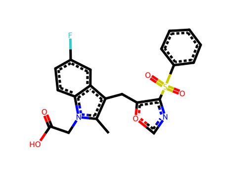 Cc1c(Cc2ocnc2S(=O)(=O)c2ccccc2)c2cc(F)ccc2n1CC(=O)O